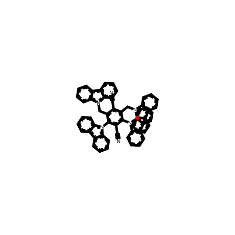 N#Cc1c(Cn2c3ccccc3c3ccccc32)c(-n2c3ccccc3c3ccccc32)c(C#N)c(-n2c3ccccc3c3ccccc32)c1Cn1c2ccccc2c2ccccc21